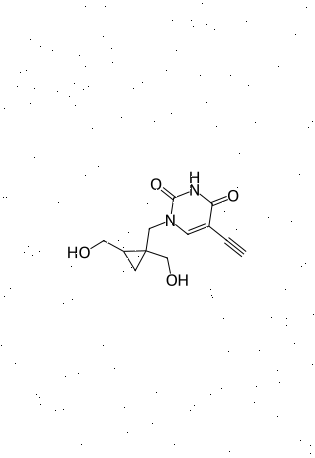 C#Cc1cn(CC2(CO)CC2CO)c(=O)[nH]c1=O